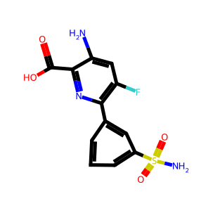 Nc1cc(F)c(-c2cccc(S(N)(=O)=O)c2)nc1C(=O)O